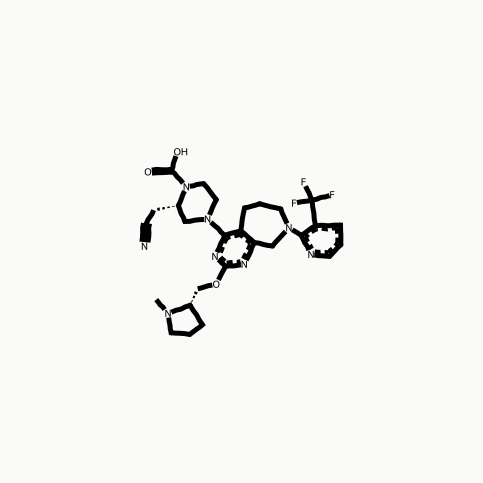 CN1CCC[C@H]1COc1nc2c(c(N3CCN(C(=O)O)[C@@H](CC#N)C3)n1)CCCN(c1ncccc1C(F)(F)F)C2